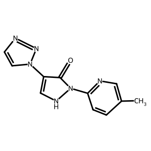 Cc1ccc(-n2[nH]cc(-n3ccnn3)c2=O)nc1